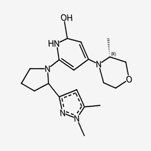 Cc1cc(C2CCCN2C2=CC(N3CCOC[C@H]3C)=CC(O)N2)nn1C